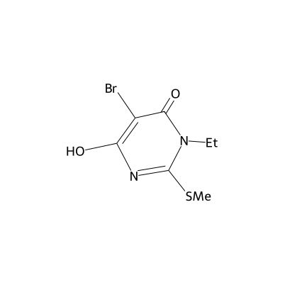 CCn1c(SC)nc(O)c(Br)c1=O